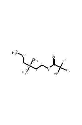 COC[N+](C)(C)CCOC(=O)C(F)(F)F